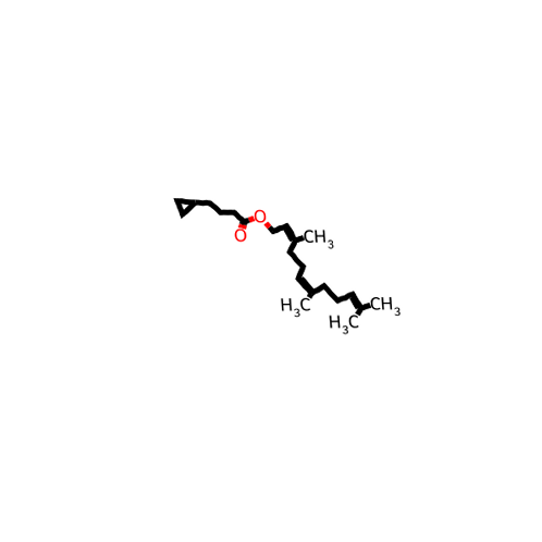 CC(C)=CCCC(C)=CCCC(C)=CCOC(=O)CCCC1CC1